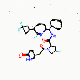 O=C(NC(c1ccccc1)c1ccc(C2CC(F)(F)C2)c(F)n1)C1CC(F)CN1C(=O)Cc1ccc(=O)[nH]c1